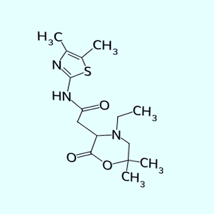 CCN1CC(C)(C)OC(=O)C1CC(=O)Nc1nc(C)c(C)s1